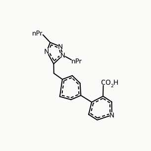 CCCc1nc(Cc2ccc(-c3ccncc3C(=O)O)cc2)n(CCC)n1